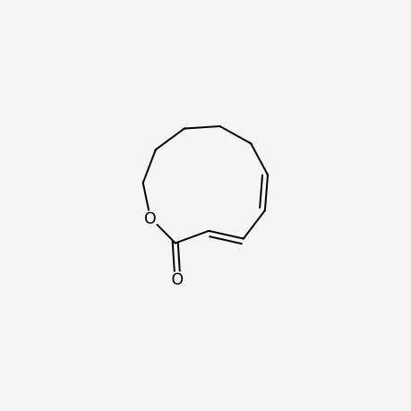 O=C1/C=C/C=CCCCCCO1